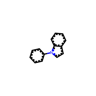 [c]1ccc2ccn(-c3ccccc3)c2c1